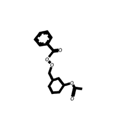 CC(=O)OC1CCCC(COOC(=O)c2ccccc2)C1